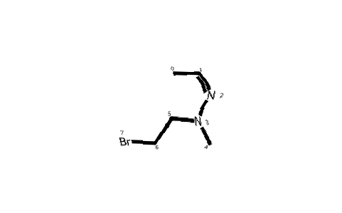 C/C=N\N(C)CCBr